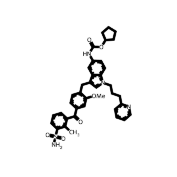 COc1cc(C(=O)c2cccc(S(N)(=O)=O)c2C)ccc1Cc1cn(CCCc2ccccn2)c2ccc(NC(=O)OC3CCCC3)cc12